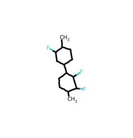 CC1CCC(C2CCC(C)C(F)C2F)CC1F